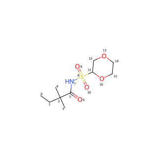 CCC(C)(C)C(=O)NS(=O)(=O)C1COCCO1